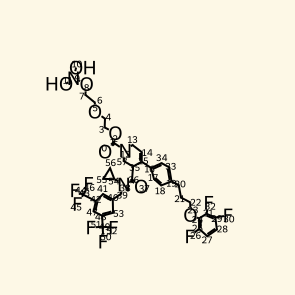 O=C(OCCOCCON(O)O)N1CC=C(c2ccc(CCCOc3c(F)ccc(F)c3F)cc2)C(C(=O)N(Cc2cc(C(F)(F)F)cc(C(F)(F)F)c2)C2CC2)C1